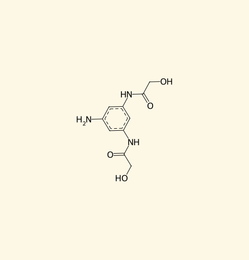 Nc1cc(NC(=O)CO)cc(NC(=O)CO)c1